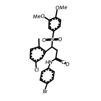 COc1ccc(S(=O)(=O)C(CC(=C=O)Nc2ccc(Br)cc2)c2cc(Cl)ccc2C)cc1OC